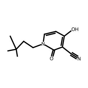 CC(C)(C)CCn1ccc(O)c(C#N)c1=O